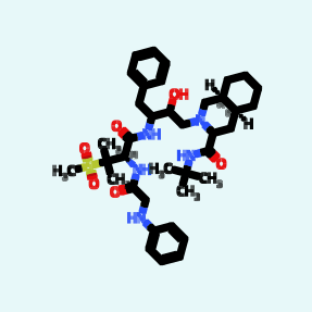 CC(C)(C)NC(=O)C1C[C@@H]2CCCC[C@@H]2CN1CC(O)C(Cc1ccccc1)NC(=O)[C@@H](NC(=O)CNc1ccccc1)C(C)(C)S(C)(=O)=O